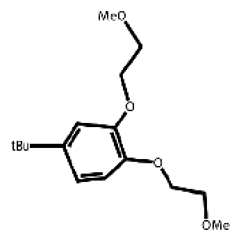 COCCOc1ccc(C(C)(C)C)cc1OCCOC